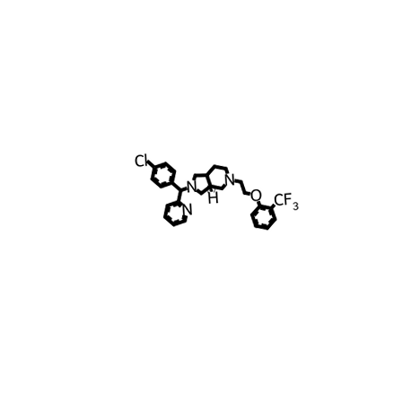 FC(F)(F)c1ccccc1OCCN1CCC2CN(C(c3ccc(Cl)cc3)c3ccccn3)C[C@H]2C1